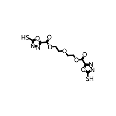 O=C(OCCOCCOC(=O)c1nnc(S)o1)c1nnc(S)o1